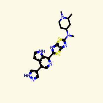 CC1CC(N(C)c2nc3sc(-c4ncc(-c5cn[nH]c5)c5cc[nH]c45)nc3s2)CCN1C